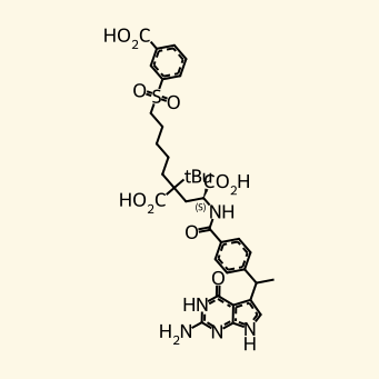 CC(c1ccc(C(=O)N[C@@H](CC(CCCCCS(=O)(=O)c2cccc(C(=O)O)c2)(C(=O)O)C(C)(C)C)C(=O)O)cc1)c1c[nH]c2nc(N)[nH]c(=O)c12